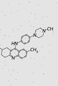 Cc1ccc2nc3c(c(Nc4ccc(N5CCN(C)CC5)cc4)c2c1)CC(C)CC3